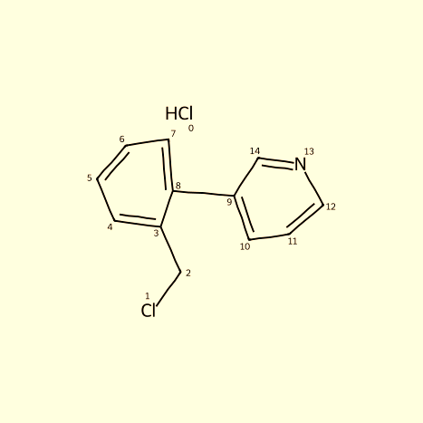 Cl.ClCc1ccccc1-c1cccnc1